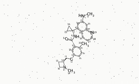 CNc1cc(C2(NC(=O)c3cc(OC[C@@H]4CCN4C)ccc3C)CC2)c2cccnc2c1